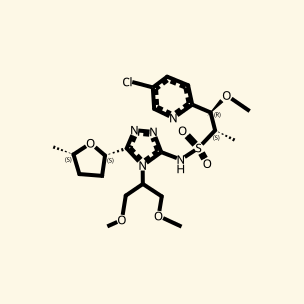 COCC(COC)n1c(NS(=O)(=O)[C@@H](C)[C@H](OC)c2ccc(Cl)cn2)nnc1[C@@H]1CC[C@H](C)O1